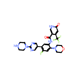 O=C(Nc1cc(-c2cnc(N3CCNCC3)nc2)c(F)cc1N1CCOCC1)c1c[nH]c(=O)cc1C(F)(F)F